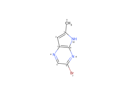 Cc1cc2ncc(Br)nc2[nH]1